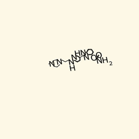 CN1CCCN(CCCNc2ccc(-c3nc4c(OC(N)=O)cccc4[nH]3)cn2)CC1